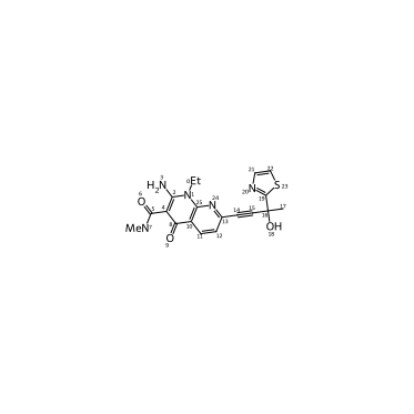 CCn1c(N)c(C(=O)NC)c(=O)c2ccc(C#CC(C)(O)c3nccs3)nc21